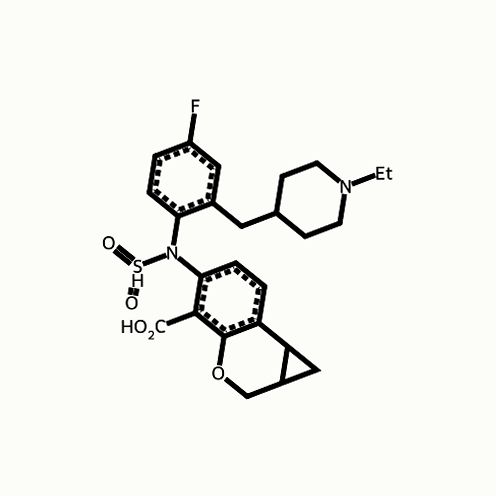 CCN1CCC(Cc2cc(F)ccc2N(c2ccc3c(c2C(=O)O)OCC2CC32)[SH](=O)=O)CC1